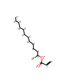 C=CC(=O)OC(F)CCCCCCCCCCC